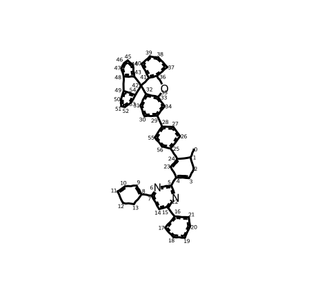 CC1CC=C(c2nc(C3=CC=CCC3)cc(-c3ccccc3)n2)C=C1c1ccc(-c2ccc3c(c2)Oc2ccccc2C32c3ccccc3-c3ccccc32)cc1